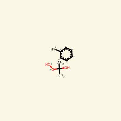 CC(C)(O)OO.CC(C)c1ccccc1